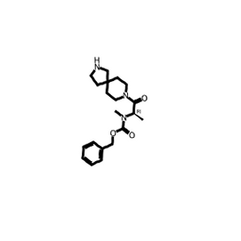 C[C@H](C(=O)N1CCC2(CCNC2)CC1)N(C)C(=O)OCc1ccccc1